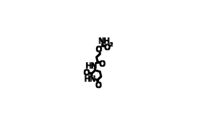 NC(=O)OCCC(=O)NC1CCC(=O)NC1=O